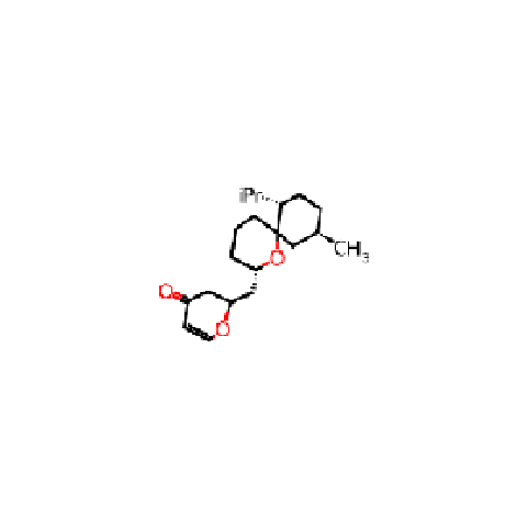 CC(C)[C@@H]1CC[C@@H](C)CC12CCC[C@@H](CC1CC(=O)C=CO1)O2